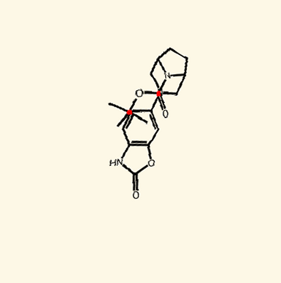 CC(C)(C)OC(=O)N1C2CCC1CN(c1ccc3[nH]c(=O)oc3c1)C2